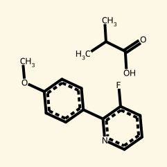 CC(C)C(=O)O.COc1ccc(-c2ncccc2F)cc1